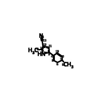 Cc1[nH]c(C2=CCC(C)C=C2)cc1C#N